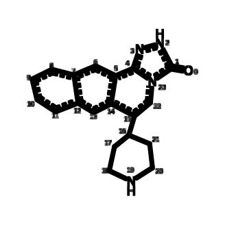 O=c1[nH]nc2c3cc4ccccc4cc3c(C3CCNCC3)cn12